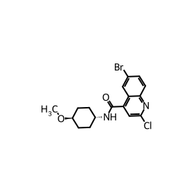 CO[C@H]1CC[C@H](NC(=O)c2cc(Cl)nc3ccc(Br)cc23)CC1